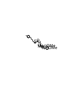 COc1ccc(CN2CCN(C(=O)CC(C)CC(=O)c3ccc(CCCCc4ccc(C)cc4)s3)CC2)c(OC)c1OC